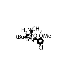 COc1ccc(Cl)cc1C(=O)N=c1sc(C(C)(C)C)cn1C[C@@H](C)N